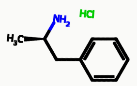 C[C@@H](N)Cc1ccccc1.Cl